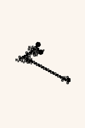 CC(C)C(NC(=O)CCOCCOCCOCCOCCOCCOCCOCCOCCNC(=O)CCN1C(=O)C=CC1=O)C(=O)N[C@@H](CCCNC(N)=O)C(=O)NCCCN(C(=O)CO)[C@@H](c1nc(-c2cc(F)ccc2F)cn1Cc1ccccc1)C(C)(C)C